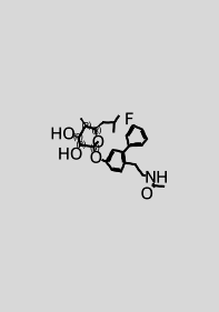 CC(=O)NCCc1ccc(O[C@@H]2O[C@H](CC(C)C)[C@H](C)[C@@H](O)[C@H]2O)cc1-c1cccc(F)c1